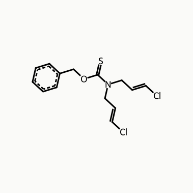 S=C(OCc1ccccc1)N(CC=CCl)CC=CCl